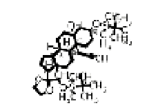 C#CC[C@]12CC[C@H](O[Si](C)(C)C(C)(C)C)C[C@]1(O)CC[C@H]1[C@@H]3CC[C@H](C4(CO[Si](C)(C)C(C)(C)C)OCCO4)[C@@]3(C)CC[C@@H]12